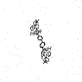 C[C@H]1CC[C@@H](c2ncc(-c3ccc(-c4ccc(-c5[nH]c([C@@H]6CC[C@H](C)N6C(=O)OC(C)(C)C)nc5F)cc4)cc3)[nH]2)N1C(=O)OC(C)(C)C